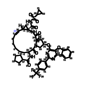 O=C(N[C@H]1CCCCC/C=C\[C@@H]2C[C@@]2(C(=O)NS(=O)(=O)C2CC2)NC(=O)[C@@H]2C[C@@H](Oc3nc(-c4ccc(C(F)(F)F)cc4)nc4c3oc3ccccc34)CN2C1=O)C1CCCC1